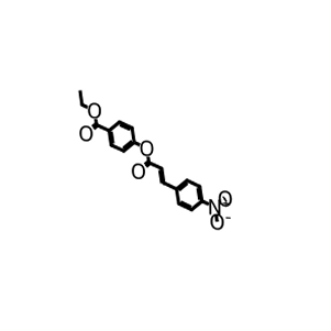 CCOC(=O)c1ccc(OC(=O)C=Cc2ccc([N+](=O)[O-])cc2)cc1